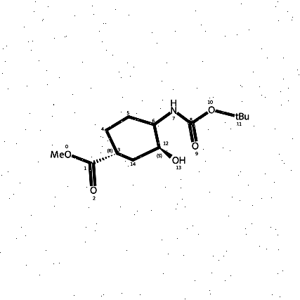 COC(=O)[C@@H]1CCC(NC(=O)OC(C)(C)C)[C@@H](O)C1